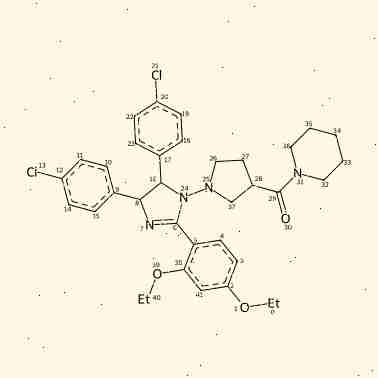 CCOc1ccc(C2=NC(c3ccc(Cl)cc3)C(c3ccc(Cl)cc3)N2N2CCC(C(=O)N3CCCCC3)C2)c(OCC)c1